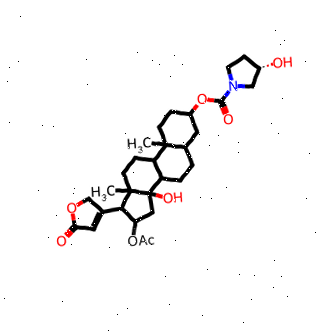 CC(=O)OC1CC2(O)C3CCC4CC(OC(=O)N5CC[C@H](O)C5)CCC4(C)C3CCC2(C)C1C1=CC(=O)OC1